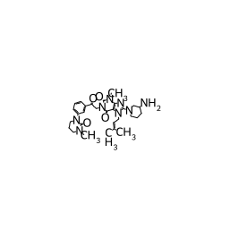 CC(C)=CCn1c(N2CCCC(N)C2)nc2c1c(=O)n(CC(=O)c1cccc(N3CCCN(C)C3=O)c1)c(=O)n2C